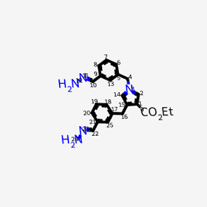 CCOC(=O)c1cn(Cc2cccc(C=NN)c2)cc1Cc1cccc(C=NN)c1